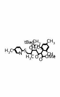 COC(=O)C(C(=O)CC(O[Si](C)(C)C(C)(C)C)C(C)CSc1ccc(C)cn1)c1c(C)cc(C)cc1C